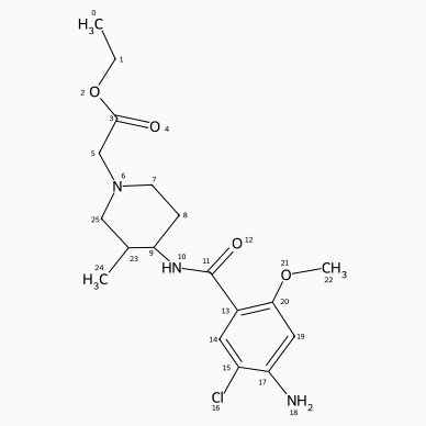 CCOC(=O)CN1CCC(NC(=O)c2cc(Cl)c(N)cc2OC)C(C)C1